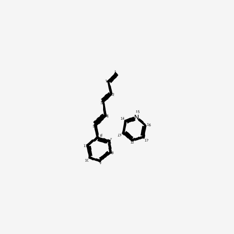 C=CC=CC=Cc1ccccc1.c1ccncc1